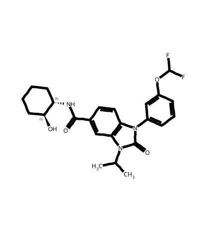 CC(C)n1c(=O)n(-c2cccc(OC(F)F)c2)c2ccc(C(=O)N[C@H]3CCCC[C@@H]3O)cc21